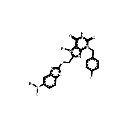 CCn1c(CSc2nc3cc([S+]([O-])CC)ccc3o2)nc2c1c(=O)[nH]c(=O)n2Cc1ccc(Cl)cc1